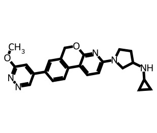 COc1cc(-c2ccc3c(c2)COc2nc(N4CCC(NC5CC5)C4)ccc2-3)cnn1